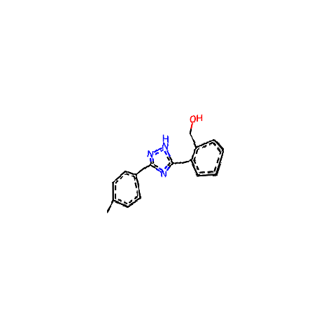 Cc1ccc(-c2n[nH]c(-c3ccccc3CO)n2)cc1